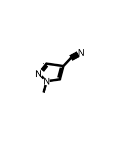 Cn1cc(C#N)[c]n1